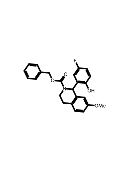 COc1ccc2c(c1)C(c1cc(F)ccc1O)N(C(=O)OCc1ccccc1)CC2